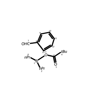 CCCB(CCC)OC(=O)C(C)(C)C.O=Cc1ccccc1